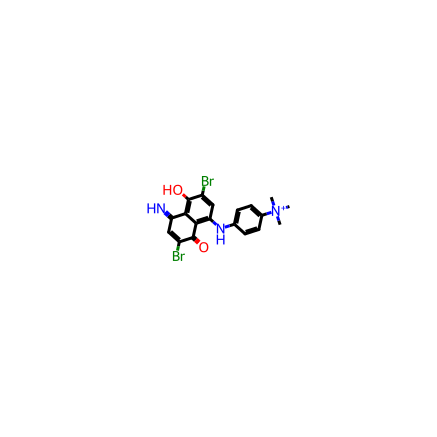 C[N+](C)(C)c1ccc(Nc2cc(Br)c(O)c3c2C(=O)C(Br)=CC3=N)cc1